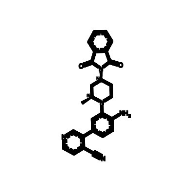 C[C@H]1C[C@@H](N2C(=O)c3ccccc3C2=O)CCN1c1cc(-c2cnccc2C#N)ccc1N